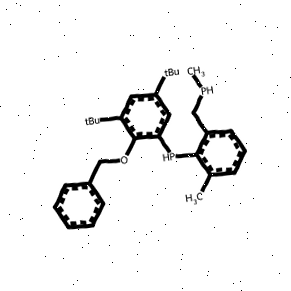 CPCc1cccc(C)c1Pc1cc(C(C)(C)C)cc(C(C)(C)C)c1OCc1ccccc1